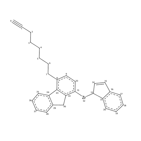 C#CCCCCCCc1cc[c]([Zr][CH]2C=Cc3ccccc32)c2c1-c1ccccc1C2